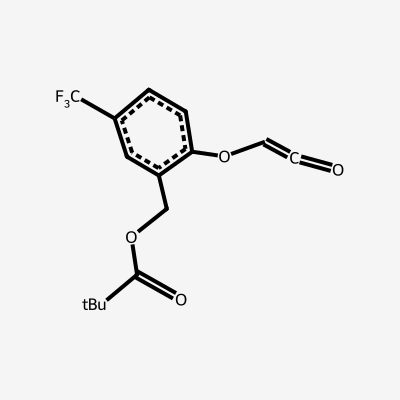 CC(C)(C)C(=O)OCc1cc(C(F)(F)F)ccc1OC=C=O